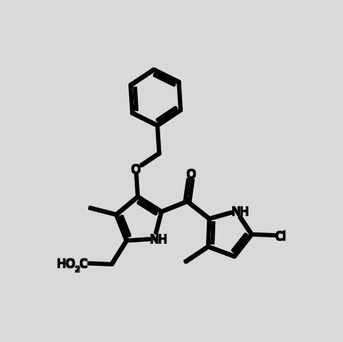 Cc1cc(Cl)[nH]c1C(=O)c1[nH]c(CC(=O)O)c(C)c1OCc1ccccc1